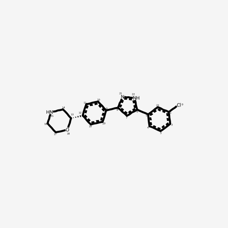 Clc1cccc(-c2cc(-c3ccc([C@H]4CNCCO4)cc3)n[nH]2)c1